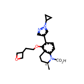 C[C@H]1CCc2c(ccc(-c3cnn(C4CC4)c3)c2OCCC2COC2)N1C(=O)O